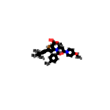 COC1CCN(C(=O)C[C@H](C)N(c2cc(C#CC(C)(C)C)sc2C(=O)O)C(=O)[C@H]2CC[C@H](C)CC2)CC1